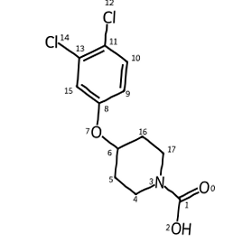 O=C(O)N1CCC(Oc2ccc(Cl)c(Cl)c2)CC1